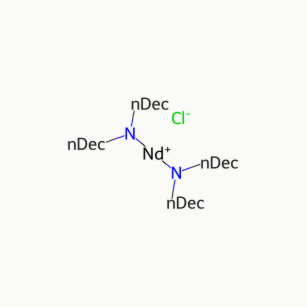 CCCCCCCCCC[N](CCCCCCCCCC)[Nd+][N](CCCCCCCCCC)CCCCCCCCCC.[Cl-]